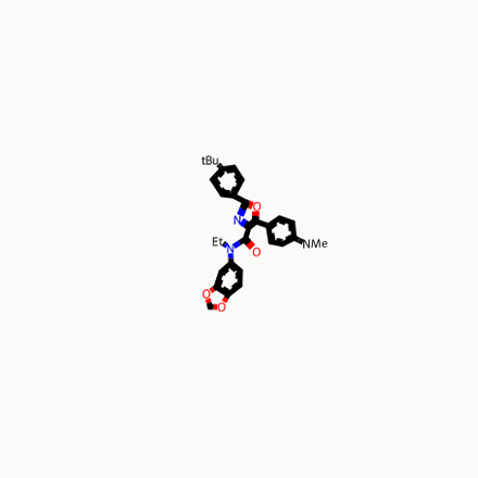 CCN(C(=O)c1nc(-c2ccc(C(C)(C)C)cc2)oc1-c1ccc(NC)cc1)c1ccc2c(c1)OCO2